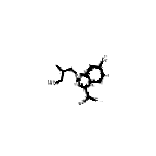 CC(CO)Cn1nc(C(F)F)c2ccc(Br)cc21